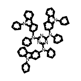 c1ccc(N(c2ccc3c(c2)c2ccccc2n3-c2ccccc2)c2nc(N(c3ccccc3)c3ccc4c5ccccc5n(-c5ccccc5)c4c3)nc(N(c3ccccc3)c3ccc4c5ccccc5n(-c5ccccc5)c4c3)n2)cc1